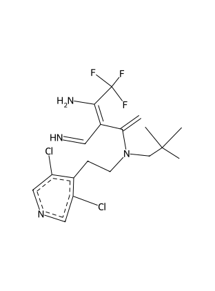 C=C(/C(C=N)=C(/N)C(F)(F)F)N(CCc1c(Cl)cncc1Cl)CC(C)(C)C